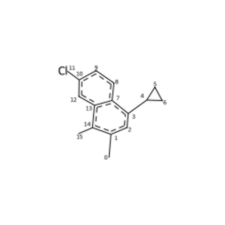 Cc1cc(C2CC2)c2ccc(Cl)cc2c1C